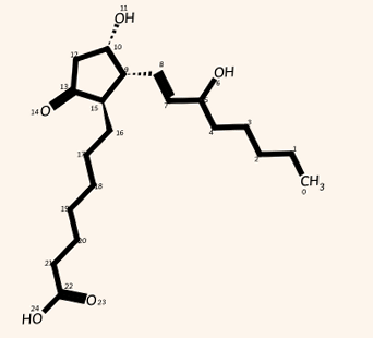 CCCCCC(O)C=C[C@H]1[C@@H](O)CC(=O)[C@@H]1CCCCCCC(=O)O